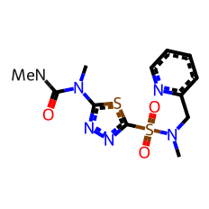 CNC(=O)N(C)c1nnc(S(=O)(=O)N(C)Cc2ccccn2)s1